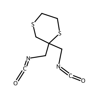 O=C=NCC1(CN=C=O)CSCCS1